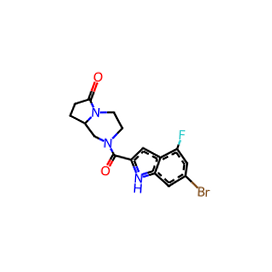 O=C(c1cc2c(F)cc(Br)cc2[nH]1)N1CCN2C(=O)CCC2C1